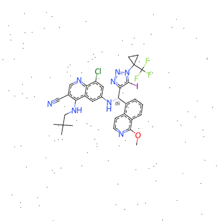 COc1nccc2c([C@H](Nc3cc(Cl)c4ncc(C#N)c(NCC(C)(C)C)c4c3)c3nnn(C4(C(F)(F)F)CC4)c3I)cccc12